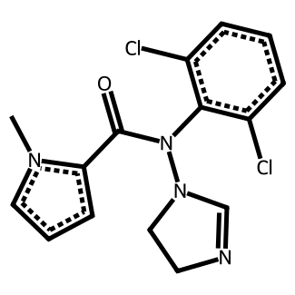 Cn1cccc1C(=O)N(c1c(Cl)cccc1Cl)N1C=NCC1